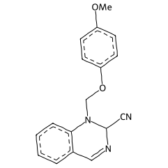 COc1ccc(OCN2c3ccccc3C=NC2C#N)cc1